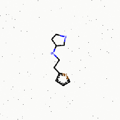 c1csc(CCNC2CC[N]C2)c1